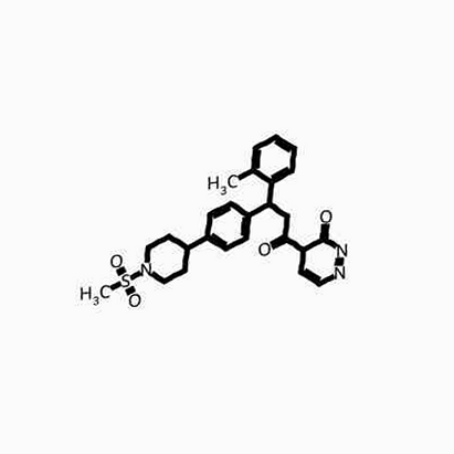 Cc1ccccc1C(CC(=O)C1C=CN=NC1=O)c1ccc(C2CCN(S(C)(=O)=O)CC2)cc1